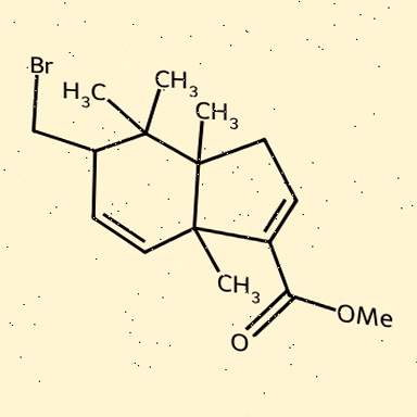 COC(=O)C1=CCC2(C)C1(C)C=CC(CBr)C2(C)C